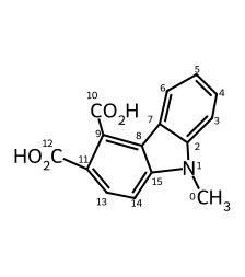 Cn1c2ccccc2c2c(C(=O)O)c(C(=O)O)ccc21